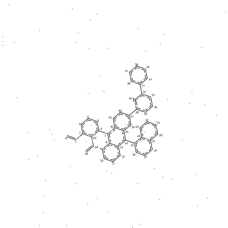 C=Cc1cccc(-c2c3ccccc3c(-c3cccc4ccccc34)c3cc(-c4cccc(-c5ccccc5)n4)ccc23)c1C=C